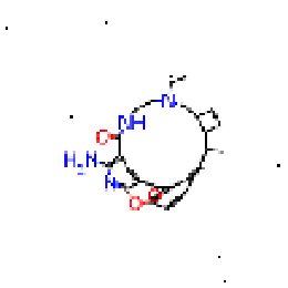 CCN1CCNC(=O)c2cc3c(=O)c4cc(ccc4oc3nc2N)C(C)C2CCC2C1